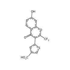 O=C(O)c1csc(-c2c(C(F)(F)F)oc3cc(O)ccc3c2=O)c1